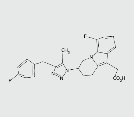 Cc1c(Cc2ccc(F)cc2)nnn1C1CCc2c(CC(=O)O)c3cccc(F)c3n2C1